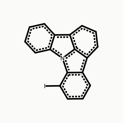 Ic1cccc2c3cccc4c5ccccc5n(c12)c43